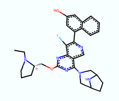 CCN1CCC[C@H]1COc1nc(N2CC3CCC(C2)N3)c2cnc(-c3cc(O)cc4ccccc34)c(F)c2n1